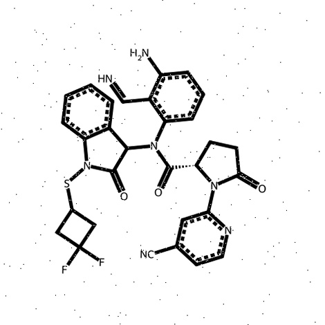 N#Cc1ccnc(N2C(=O)CC[C@H]2C(=O)N(c2cccc(N)c2C=N)C2C(=O)N(SC3CC(F)(F)C3)c3ccccc32)c1